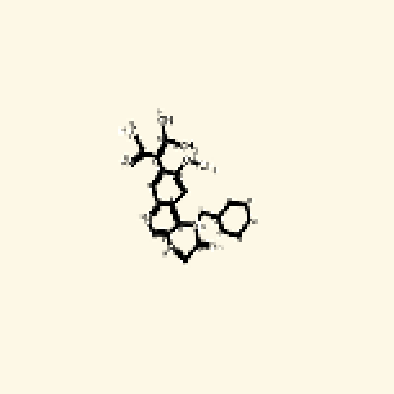 COc1cc2c(cc1/C(C(C)=N)=C(\C)O)ncc1ncc(=O)n(CC3CCCCC3)c12